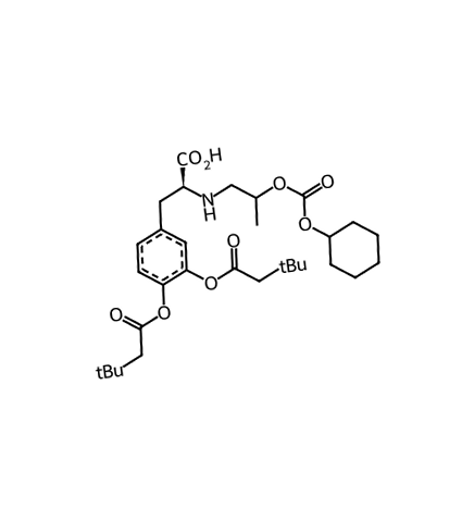 CC(CN[C@@H](Cc1ccc(OC(=O)CC(C)(C)C)c(OC(=O)CC(C)(C)C)c1)C(=O)O)OC(=O)OC1CCCCC1